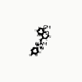 Cc1ccc(S(=O)(=O)NCC2CCOc3c(O)cccc32)cc1